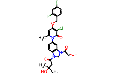 Cc1cc(OCc2ccc(F)cc2F)c(Cl)c(=O)n1-c1ccc2c(c1)N(C(=O)CO)CN2C(=O)CC(C)(C)O